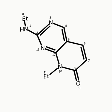 CCNc1ncc2ccc(=O)n(CC)c2n1